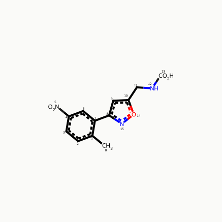 Cc1ccc([N+](=O)[O-])cc1-c1cc(CNC(=O)O)on1